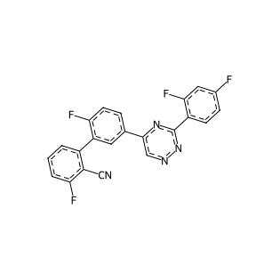 N#Cc1c(F)cccc1-c1cc(-c2cnnc(-c3ccc(F)cc3F)n2)ccc1F